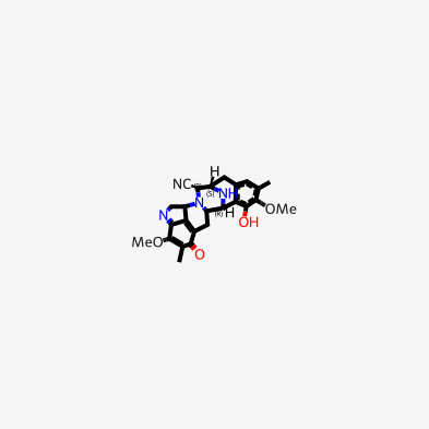 COC1=C(C)C(=O)C2=C3C1=NCC3N1C(C2)[C@@H]2N[C@@H](Cc3cc(C)c(OC)c(O)c32)[C@@H]1C#N